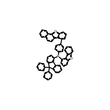 c1ccc(C2(c3ccccc3)c3ccccc3-c3c(N(c4ccc(-c5cccc6oc7c8ccccc8ccc7c56)cc4)c4cccc5oc6ccccc6c45)cccc32)cc1